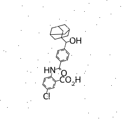 O=C(Nc1ccc(Cl)cc1C(=O)O)c1ccc(C(O)C23CC4CC(CC(C4)C2)C3)cc1